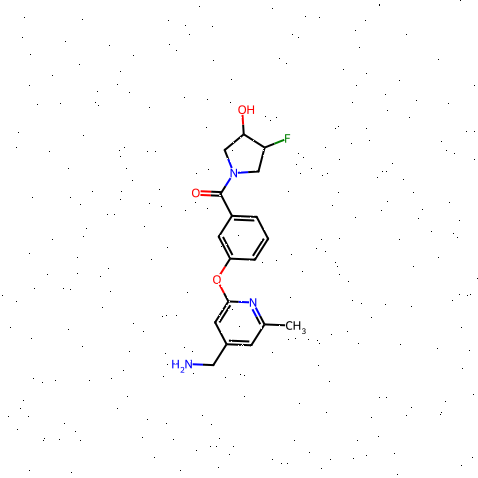 Cc1cc(CN)cc(Oc2cccc(C(=O)N3CC(O)C(F)C3)c2)n1